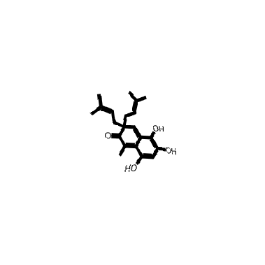 CC(C)=CCC1(CC=C(C)C)C=c2c(O)c(O)cc(O)c2=C(C)C1=O